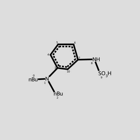 CCCCN(CCCC)c1cccc(NS(=O)(=O)O)c1